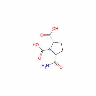 NC(=O)[C@H]1CC[C@@H](C(=O)O)N1C(=O)O